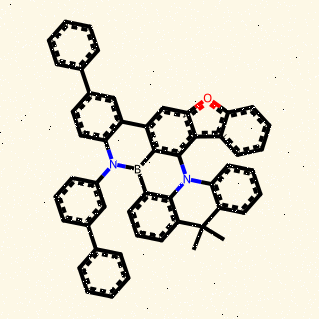 CC1(C)c2ccccc2N2c3c(cccc31)B1c3c(cc4oc5ccccc5c4c32)-c2cc(-c3ccccc3)ccc2N1c1cccc(-c2ccccc2)c1